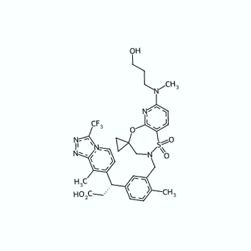 Cc1ccc([C@H](CC(=O)O)c2ccn3c(C(F)(F)F)nnc3c2C)cc1CN1CC2(CC2)Oc2nc(N(C)CCCO)ccc2S1(=O)=O